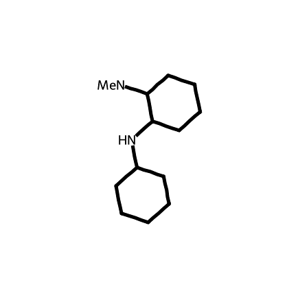 CNC1CCCCC1NC1CCCCC1